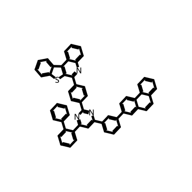 c1ccc(-c2ccccc2-c2cc(-c3cccc(-c4ccc5c(ccc6ccccc65)c4)c3)nc(-c3ccc(-c4nc5ccccc5c5c4sc4ccccc45)cc3)n2)cc1